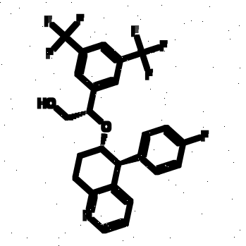 OC[C@@H](O[C@H]1CCc2ncccc2[C@@H]1c1ccc(F)cc1)c1cc(C(F)(F)F)cc(C(F)(F)F)c1